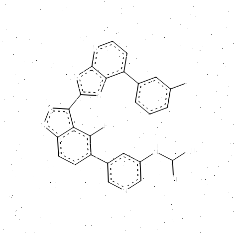 CC(C)Nc1cncc(-c2ccc3[nH]nc(-c4nc5c(-c6cccc(F)c6)ccnc5[nH]4)c3c2F)c1